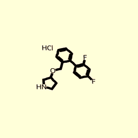 Cl.Fc1ccc(-c2ccccc2COC2CCNC2)c(F)c1